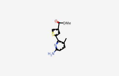 COC(=O)c1csc(-c2nc(N)ccc2C)c1